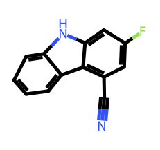 N#Cc1cc(F)cc2[nH]c3ccccc3c12